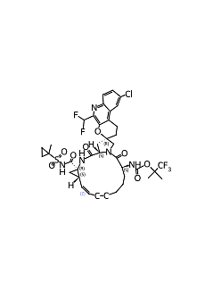 CC(C)(OC(=O)N[C@H]1CCCCC/C=C\[C@@H]2C[C@@]2(C(=O)NS(=O)(=O)C2(C)CC2)NC(=O)[C@@H]2C[C@]3(CCc4c(c(C(F)F)nc5ccc(Cl)cc45)O3)CN2C1=O)C(F)(F)F